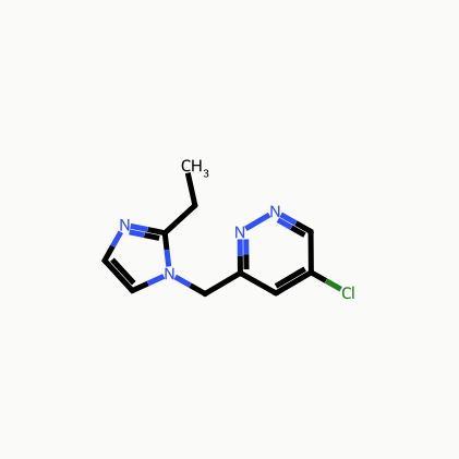 CCc1nccn1Cc1cc(Cl)cnn1